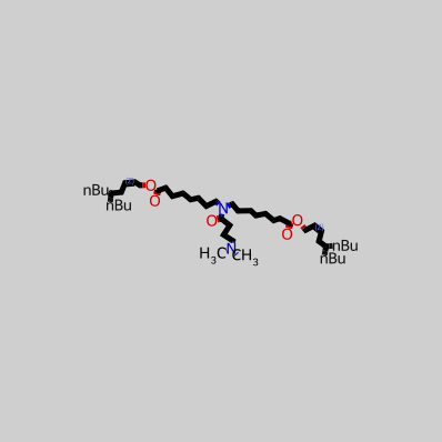 CCCCC(C/C=C\COC(=O)CCCCCCCN(CCCCCCCC(=O)OC/C=C\CC(CCCC)CCCC)C(=O)CCCN(C)C)CCCC